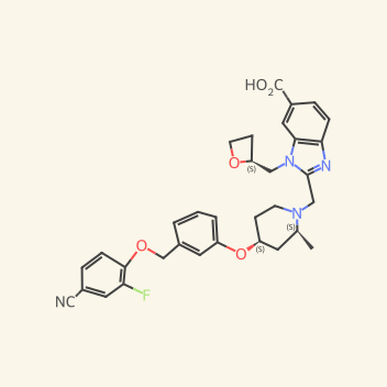 C[C@H]1C[C@@H](Oc2cccc(COc3ccc(C#N)cc3F)c2)CCN1Cc1nc2ccc(C(=O)O)cc2n1C[C@@H]1CCO1